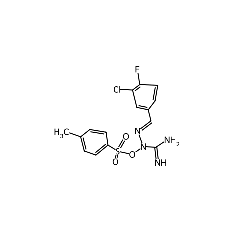 Cc1ccc(S(=O)(=O)ON(N=Cc2ccc(F)c(Cl)c2)C(=N)N)cc1